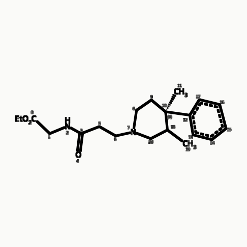 CCOC(=O)CNC(=O)CCN1CC[C@@](C)(c2ccccc2)C(C)C1